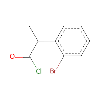 CC(C(=O)Cl)c1ccccc1Br